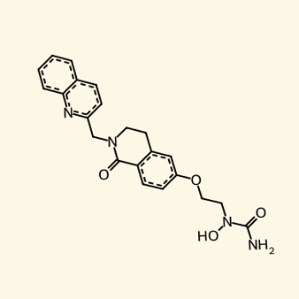 NC(=O)N(O)CCOc1ccc2c(c1)CCN(Cc1ccc3ccccc3n1)C2=O